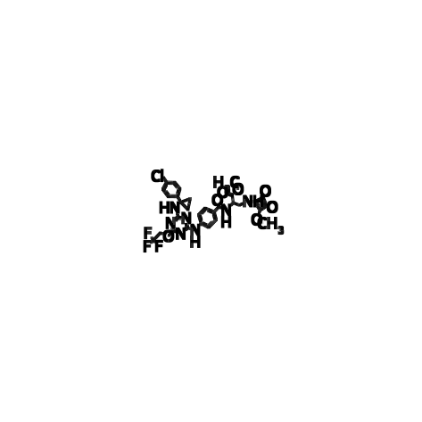 COC(=O)C(CNc1c(OC)c(=O)c1=O)NC(=O)c1ccc(Nc2nc(NC3(c4ccc(Cl)cc4)CC3)nc(OCC(F)(F)F)n2)cc1